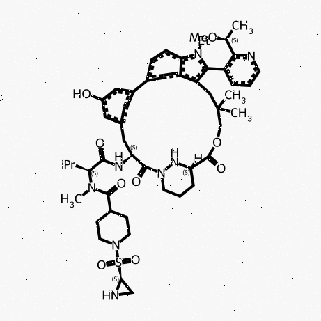 CCn1c(-c2cccnc2[C@H](C)OC)c2c3cc(ccc31)-c1cc(O)cc(c1)C[C@H](NC(=O)[C@H](C(C)C)N(C)C(=O)C1CCN(S(=O)(=O)[C@H]3CN3)CC1)C(=O)N1CCC[C@H](N1)C(=O)OCC(C)(C)C2